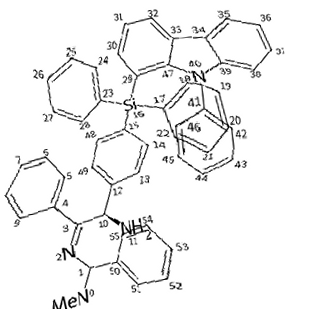 CNC(/N=C(/c1ccccc1)[C@H](N)c1ccc([Si](c2ccccc2)(c2ccccc2)c2cccc3c4ccccc4n(-c4ccccc4)c23)cc1)c1ccccc1